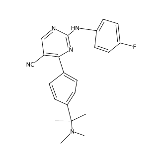 CN(C)C(C)(C)c1ccc(-c2nc(Nc3ccc(F)cc3)ncc2C#N)cc1